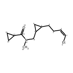 CC/C=C\CCC1CC1CN(C)C(=O)C1CC1